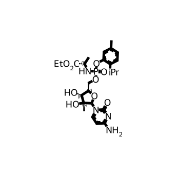 CCOC(=O)[C@H](C)NP(=O)(OC[C@H]1OC(n2ccc(N)nc2=O)[C@](C)(O)[C@@H]1O)Oc1cc(C)ccc1C(C)C